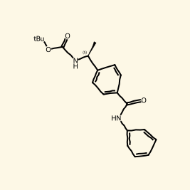 C[C@H](NC(=O)OC(C)(C)C)c1ccc(C(=O)Nc2ccccc2)cc1